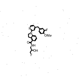 COc1ccc(Cc2ccnc(N3CCc4c(C(=O)NCC(O)CF)cccc43)c2)cc1F